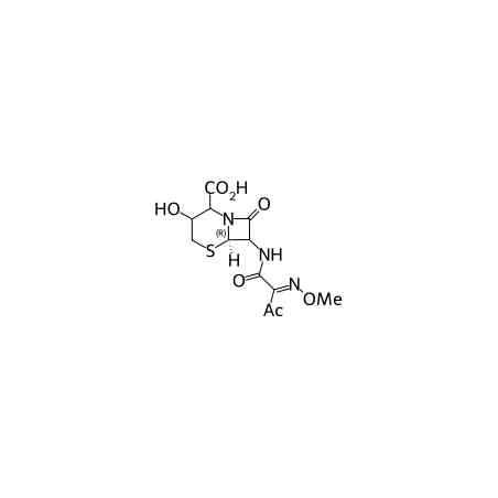 CON=C(C(C)=O)C(=O)NC1C(=O)N2C(C(=O)O)C(O)CS[C@H]12